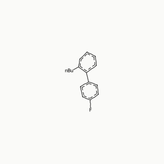 CCCCc1ccccc1-c1ccc(F)cc1